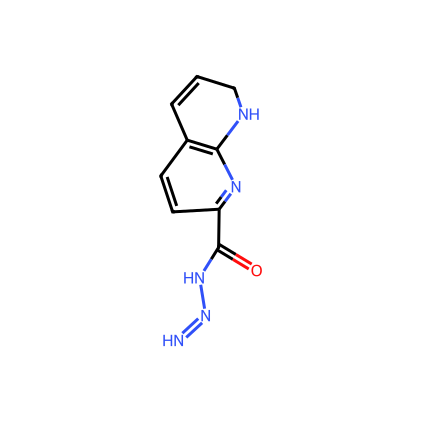 N=NNC(=O)c1ccc2c(n1)NCC=C2